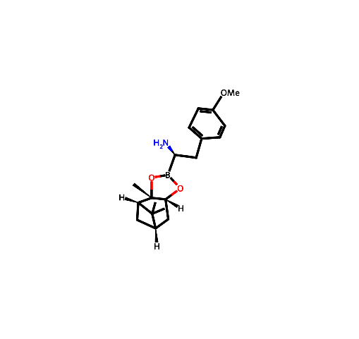 COc1ccc(C[C@H](N)B2O[C@@H]3C[C@@H]4C[C@@H](C4(C)C)[C@]3(C)O2)cc1